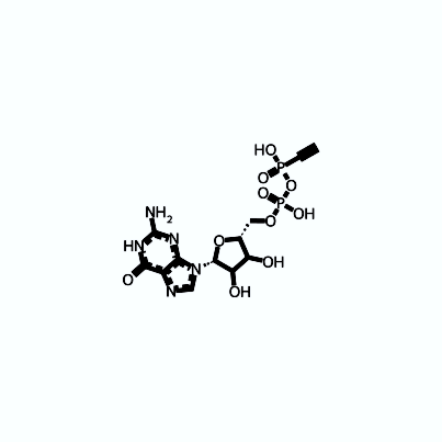 C#CP(=O)(O)OP(=O)(O)OC[C@H]1O[C@@H](n2cnc3c(=O)[nH]c(N)nc32)C(O)C1O